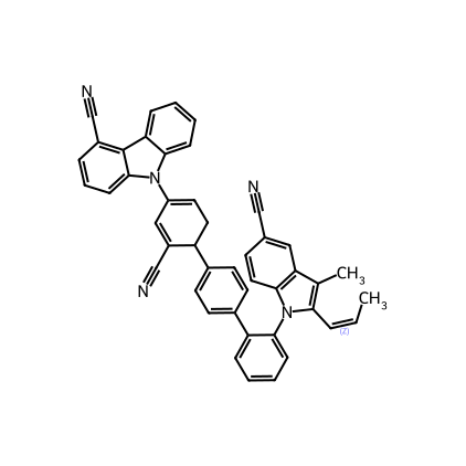 C/C=C\c1c(C)c2cc(C#N)ccc2n1-c1ccccc1-c1ccc(C2CC=C(n3c4ccccc4c4c(C#N)cccc43)C=C2C#N)cc1